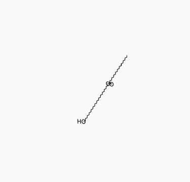 CCCCCCC=CCCCCCCCCCCCC(=O)OCCCCCCCCCCCCCCCCCCCCCCCCCO